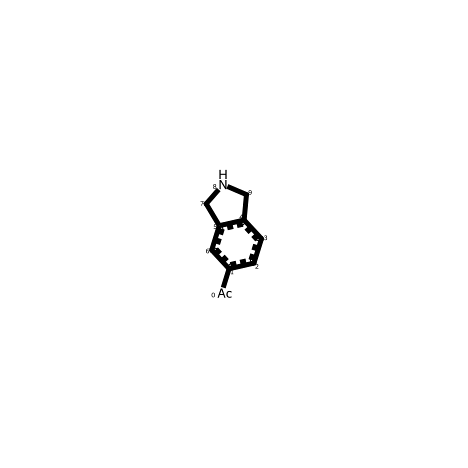 [CH2]C(=O)c1ccc2c(c1)CNC2